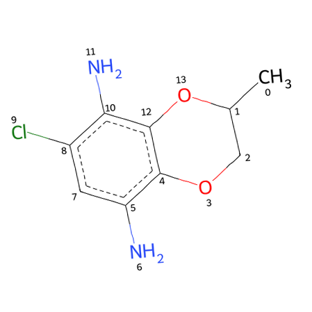 CC1COc2c(N)cc(Cl)c(N)c2O1